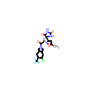 Cc1cc(C2(CCC(=O)n3cc4cc(Cl)c(C(F)(F)F)cc4c3)NC(=O)NC2=O)no1